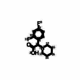 O=C(O)C(c1ccc(F)cc1F)N1CCCCC1